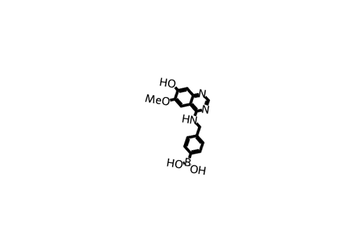 COc1cc2c(NCc3ccc(B(O)O)cc3)ncnc2cc1O